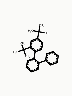 CC(C)(C)c1ccc(-c2ccc[c]c2-c2ccccc2)c(C(C)(C)C)c1